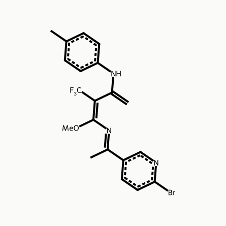 C=C(Nc1ccc(C)cc1)/C(=C(\N=C(/C)c1ccc(Br)nc1)OC)C(F)(F)F